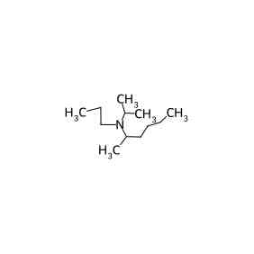 CCCCC(C)N(CCC)C(C)C